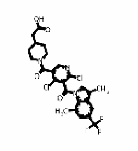 Cc1cn(C(=O)c2c(Cl)ncc(C(=O)N3CCC(CC(=O)O)CC3)c2Cl)c2c(C)cc(C(F)(F)F)cc12